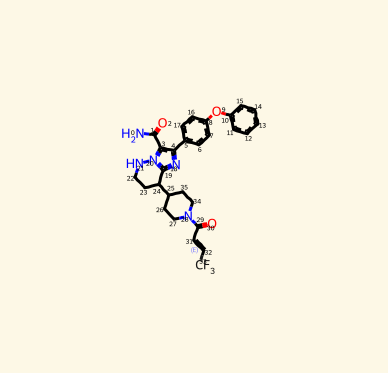 NC(=O)c1c(-c2ccc(Oc3ccccc3)cc2)nc2n1NCCC2C1CCN(C(=O)/C=C/C(F)(F)F)CC1